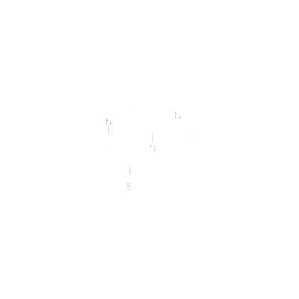 CCc1cncc2nccn12